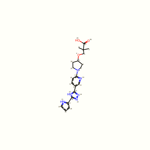 CC(C)(COC1CCN(c2ccc(-c3nnc(-c4ccc[nH]4)[nH]3)cn2)CC1)C(=O)O